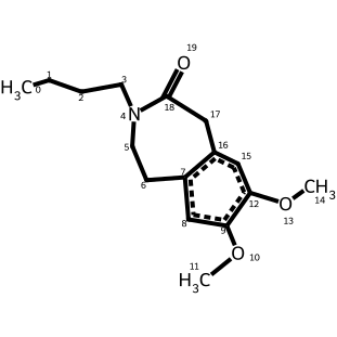 CCCCN1CCc2cc(OC)c(OC)cc2CC1=O